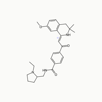 CCN1CCCC1CNC(=O)c1ccc(C(=O)/C=C2\NC(C)(C)Cc3ccc(OC)cc32)cc1